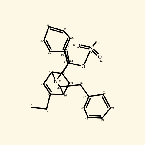 CCC1=CC2C(C(=O)OS(C)(=O)=O)CC1C(Cc1ccccc1)N2Cc1ccccc1